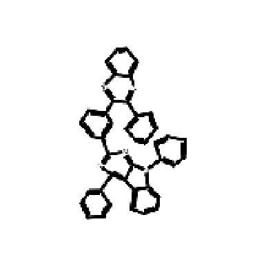 c1ccc(-c2nc3ccccc3nc2-c2cccc(-c3nc(-c4ccccc4)c4c5ccccc5n(-c5ccccc5)c4n3)c2)cc1